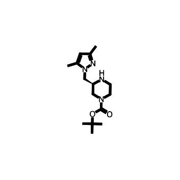 Cc1cc(C)n(C[C@@H]2CN(C(=O)OC(C)(C)C)CCN2)n1